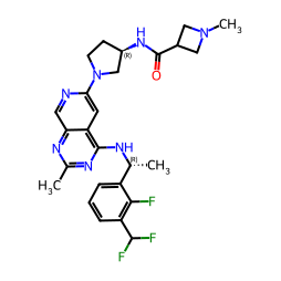 Cc1nc(N[C@H](C)c2cccc(C(F)F)c2F)c2cc(N3CC[C@@H](NC(=O)C4CN(C)C4)C3)ncc2n1